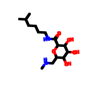 CNCC1OC(C(=O)NCCCCC(C)C)C(O)C(O)C1O